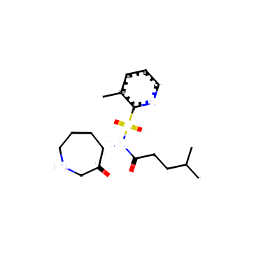 Cc1cccnc1S(=O)(=O)N(C(=O)[CH]CC(C)C)[C@H]1CCCNCC1=O